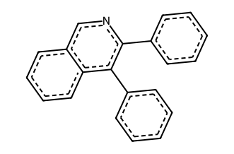 c1ccc(-c2ncc3ccccc3c2-c2ccccc2)cc1